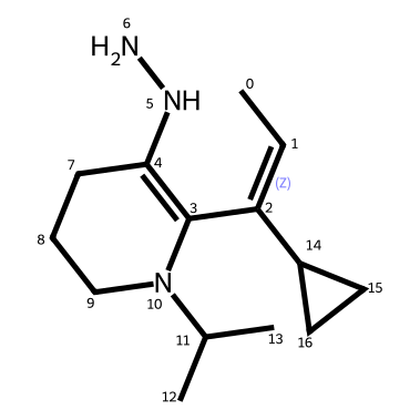 C/C=C(\C1=C(NN)CCCN1C(C)C)C1CC1